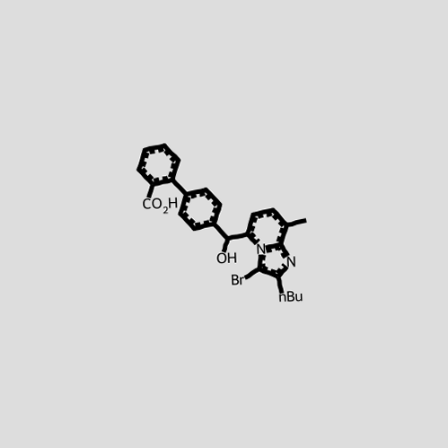 CCCCc1nc2c(C)ccc(C(O)c3ccc(-c4ccccc4C(=O)O)cc3)n2c1Br